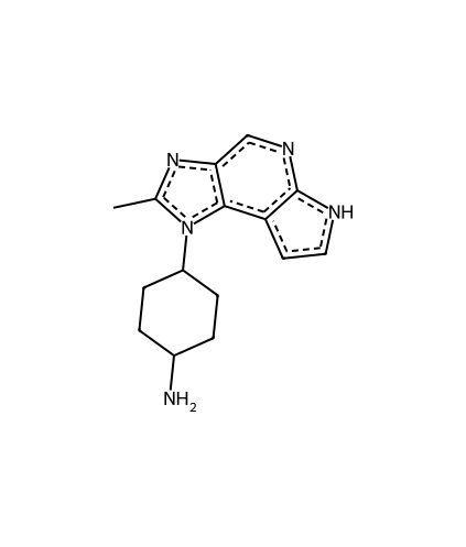 Cc1nc2cnc3[nH]ccc3c2n1C1CCC(N)CC1